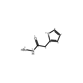 CCCCNC(=O)Cc1cccs1